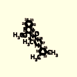 CCN(C(=O)N1CCN(c2cc(C)cc(C)c2)CC1)c1nc2ccccc2nc1OC